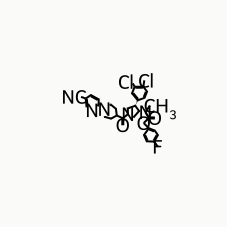 CN(C(=O)Oc1ccc(F)cc1)[C@H]1CN(C(=O)C2CCN(c3ccc(C#N)cn3)CC2)C[C@@H]1c1ccc(Cl)c(Cl)c1